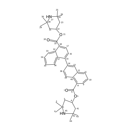 CC1(C)CC(OC(=O)c2cccc3cc(-c4ccc(C(=O)OC5CC(C)(C)NC(C)(C)C5)c5ccccc45)ccc23)CC(C)(C)N1